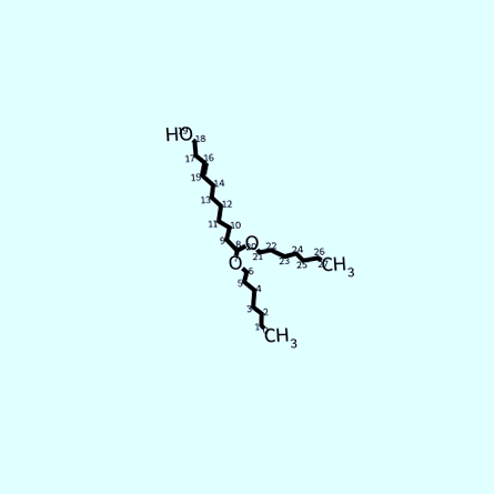 CCCCCCCOC(CCCCCC/C=C/CCO)OCCCCCCC